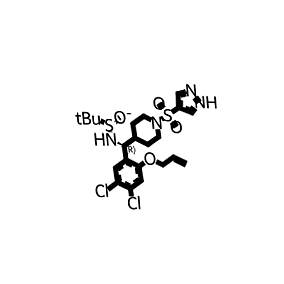 C=CCOc1cc(Cl)c(Cl)cc1[C@H](N[S+]([O-])C(C)(C)C)C1CCN(S(=O)(=O)c2cn[nH]c2)CC1